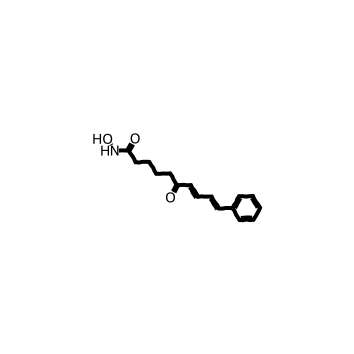 O=C(/C=C/C=C/c1ccccc1)CCCCC(=O)NO